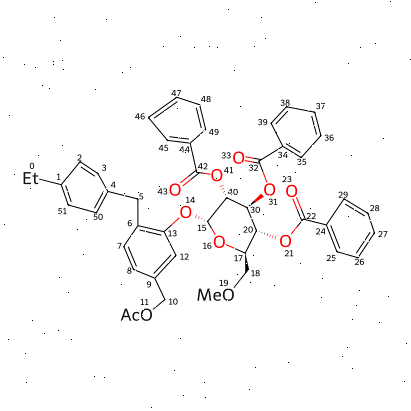 CCc1ccc(Cc2ccc(COC(C)=O)cc2O[C@H]2O[C@H](COC)[C@@H](OC(=O)c3ccccc3)[C@H](OC(=O)c3ccccc3)[C@H]2OC(=O)c2ccccc2)cc1